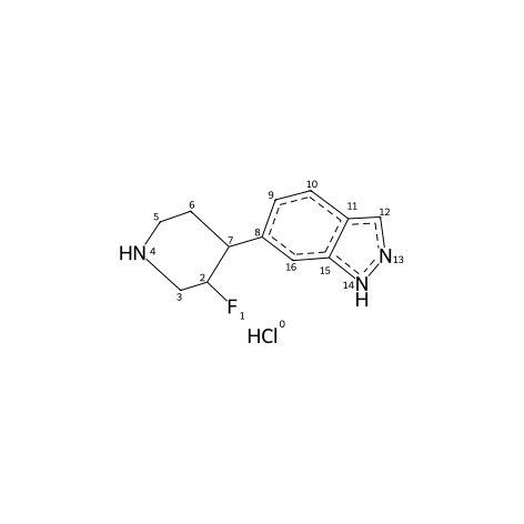 Cl.FC1CNCCC1c1ccc2cn[nH]c2c1